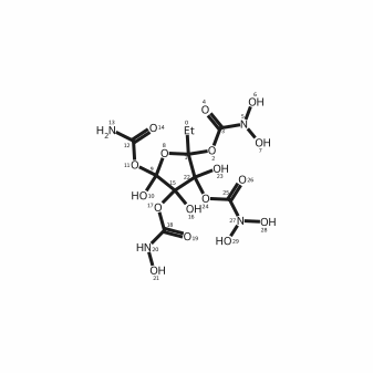 CCC1(OC(=O)N(O)O)OC(O)(OC(N)=O)C(O)(OC(=O)NO)C1(O)OC(=O)N(O)O